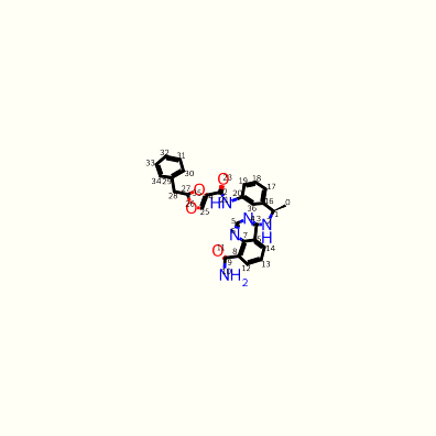 C[C@@H](Nc1ncnc2c(C(N)=O)cccc12)c1cccc(NC(=O)C2=COC(Cc3ccccc3)O2)c1